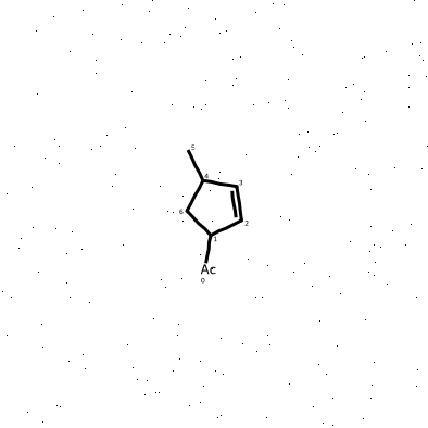 CC(=O)C1C=CC(C)C1